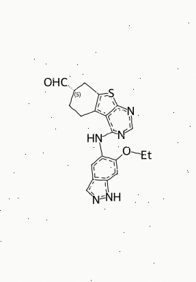 CCOc1cc2[nH]ncc2cc1Nc1ncnc2sc3c(c12)CC[C@H](C=O)C3